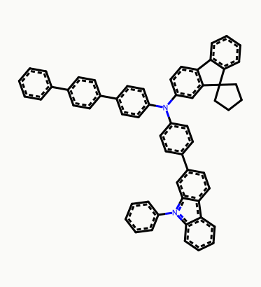 c1ccc(-c2ccc(-c3ccc(N(c4ccc(-c5ccc6c7ccccc7n(-c7ccccc7)c6c5)cc4)c4ccc5c(c4)C4(CCCC4)c4ccccc4-5)cc3)cc2)cc1